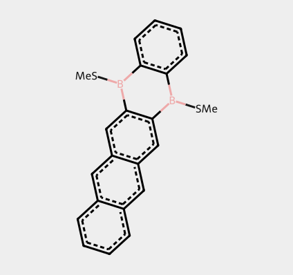 CSB1c2ccccc2B(SC)c2cc3cc4ccccc4cc3cc21